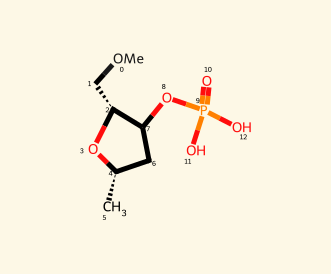 COC[C@H]1O[C@@H](C)CC1OP(=O)(O)O